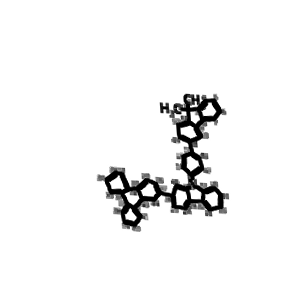 CC1(C)c2ccccc2-c2cc(-c3ccc(-n4c5ccccc5c5ccc(-c6ccc7c8ccccc8c8ccccc8c7c6)cc54)cc3)ccc21